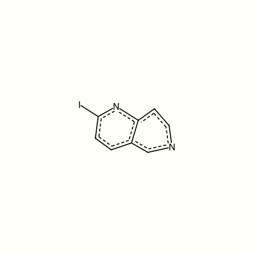 Ic1ccc2cnccc2n1